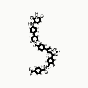 O=C1CCC(Nc2ccc(C3CCN(Cc4ccc(-c5cc6c(-c7ccc(CNC(=O)c8ccc(C(F)F)cc8)c(F)c7)ncnn6c5)cc4)CC3)cc2)C(=O)N1